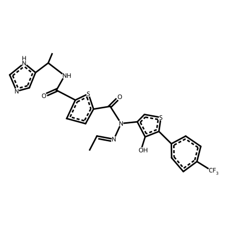 CC=NN(C(=O)c1ccc(C(=O)NC(C)c2cnc[nH]2)s1)c1csc(-c2ccc(C(F)(F)F)cc2)c1O